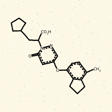 Cc1ccc(Oc2cnn(C(CC3CCCC3)C(=O)O)c(=O)c2)c2c1CCC2